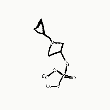 CCOP(=O)(OCC)OC1CN(C2CC2)C1